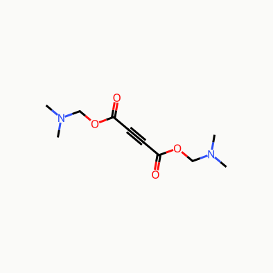 CN(C)COC(=O)C#CC(=O)OCN(C)C